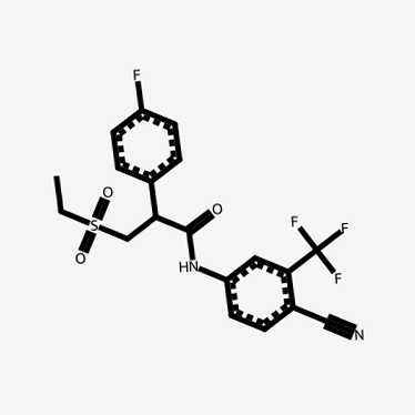 CCS(=O)(=O)CC(C(=O)Nc1ccc(C#N)c(C(F)(F)F)c1)c1ccc(F)cc1